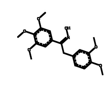 COc1ccc(CC(=NO)c2cc(OC)c(OC)c(OC)c2)cc1OC